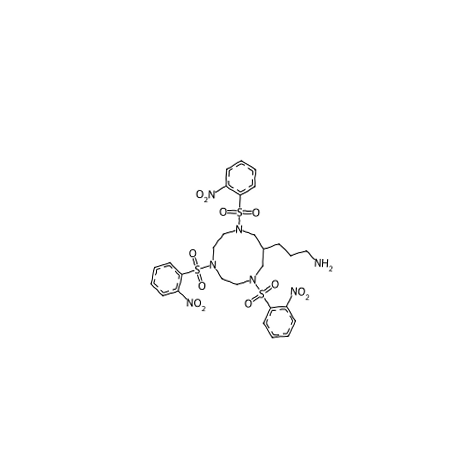 NCCCC1CN(S(=O)(=O)c2ccccc2[N+](=O)[O-])CCN(S(=O)(=O)c2ccccc2[N+](=O)[O-])CCN(S(=O)(=O)c2ccccc2[N+](=O)[O-])C1